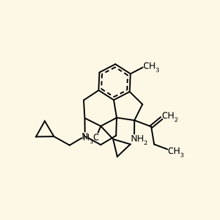 C=C(CC)C1(N)Cc2c(C)ccc3c2C12CCN(CC1CC1)C(C3)C2(C)C1CC1